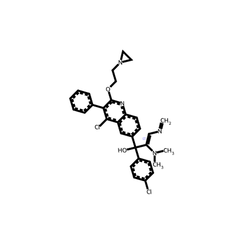 C=N/C=C(\N(C)C)C(O)(c1ccc(Cl)cc1)c1ccc2nc(OCCN3CC3)c(-c3ccccc3)c(Cl)c2c1